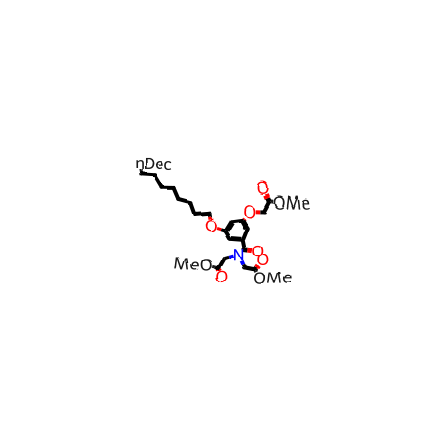 CCCCCCCCCCCCCCCCCCOc1cc(OCC(=O)OC)cc(C(=O)N(CC(=O)OC)CC(=O)OC)c1